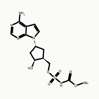 CC(C)(C)OC(=O)NS(=O)(=O)OC[C@@H]1C[C@@H](n2ccc3c(N)ncnc32)C[C@@H]1O